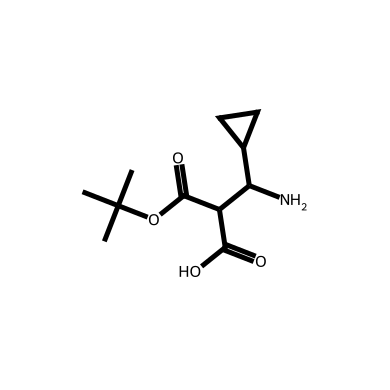 CC(C)(C)OC(=O)C(C(=O)O)C(N)C1CC1